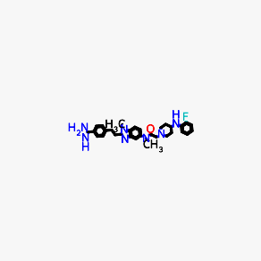 CN(C(=O)CN1CCC(Nc2ccccc2F)CC1)c1ccc2c(c1)nc(CCc1ccc(C(=N)N)cc1)n2C